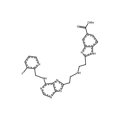 COC(=O)c1ccc2[nH]c(CCNCCc3nc4c(NCc5ncccc5F)ncnc4s3)nc2c1